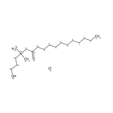 CCCCCCCCCCCC(=O)C[N+](C)(C)CCCO.[Cl-]